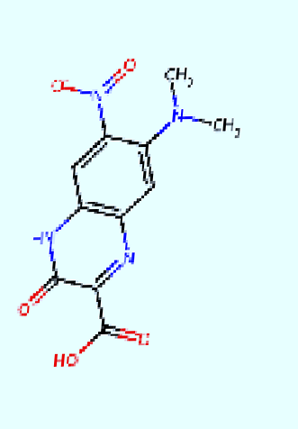 CN(C)c1cc2nc(C(=O)O)c(=O)[nH]c2cc1[N+](=O)[O-]